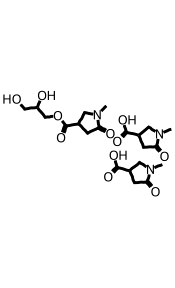 CN1CC(C(=O)O)CC1=O.CN1CC(C(=O)O)CC1=O.CN1CC(C(=O)OCC(O)CO)CC1=O